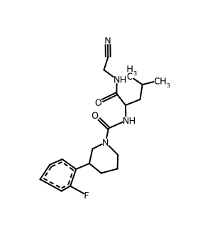 CC(C)CC(NC(=O)N1CCCC(c2ccccc2F)C1)C(=O)NCC#N